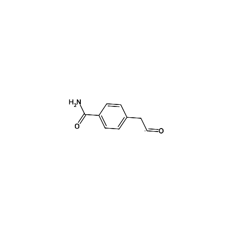 NC(=O)c1ccc(C[C]=O)cc1